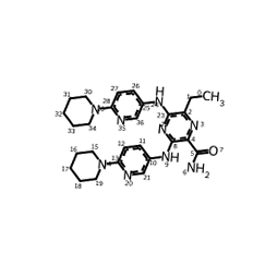 CCc1nc(C(N)=O)c(Nc2ccc(N3CCCCC3)nc2)nc1Nc1ccc(N2CCCCC2)nc1